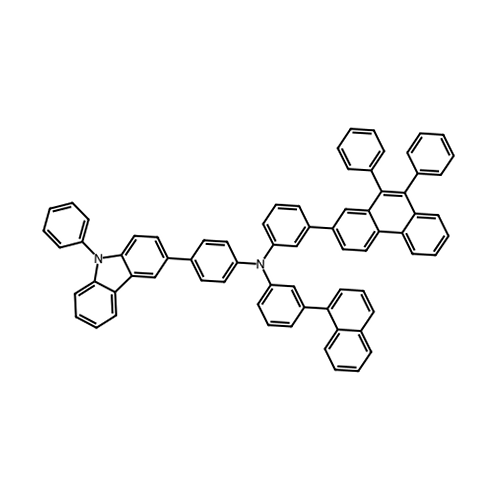 c1ccc(-c2c(-c3ccccc3)c3cc(-c4cccc(N(c5ccc(-c6ccc7c(c6)c6ccccc6n7-c6ccccc6)cc5)c5cccc(-c6cccc7ccccc67)c5)c4)ccc3c3ccccc23)cc1